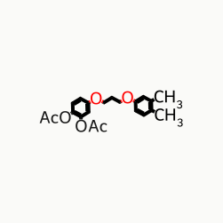 CC(=O)Oc1ccc(OCCCOc2ccc(C)c(C)c2)cc1OC(C)=O